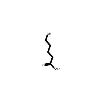 CSC(=O)CCCCO